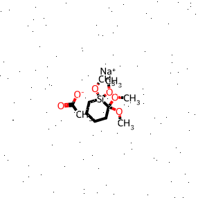 CC(=O)[O-].COC1(OC)CCCC[Si]1(OC)OC.[Na+]